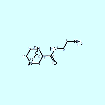 NCCNC(=O)C1CN2CCN1CC2